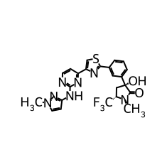 CN1C(=O)[C@@](O)(c2cccc(-c3nc(-c4ccnc(Nc5ccn(C)n5)n4)cs3)c2)C[C@H]1C(F)(F)F